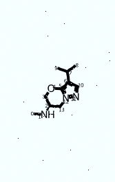 CN[C@H]1COc2c(C(C)C)cnn2C1